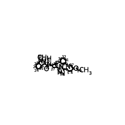 CCOc1ccc(-c2nnc(C3CC(NC(=O)c4nn(C)c5ccccc45)C3)n2-c2ccccc2F)nc1